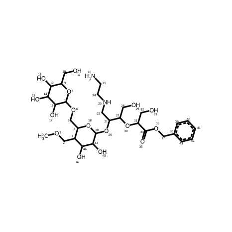 COCC1C(COC2OC(CO)C(O)C(O)C2O)OC(OC(CNCCN)C(CO)OC(CO)C(=O)OCc2ccccc2)C(O)C1O